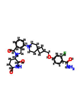 NC(=O)c1ccc(OCC2CC3(CCN(c4cccc5c4CN(C4CCC(=O)NC4=O)C5=O)CC3)C2)cc1F